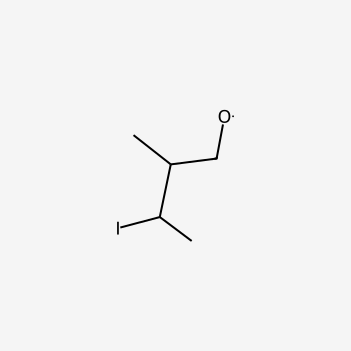 CC(I)C(C)C[O]